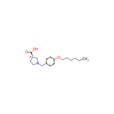 CCCCCCOc1ccc(CN2CC[C@@H](C(=O)O)C2)cc1